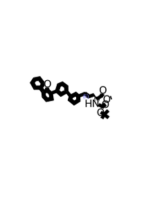 COC(=O)[C@H](C/C=C/c1cccc(-c2cccc(-c3cccc4c3oc3ccccc34)c2)c1)NC(=O)OC(C)(C)C